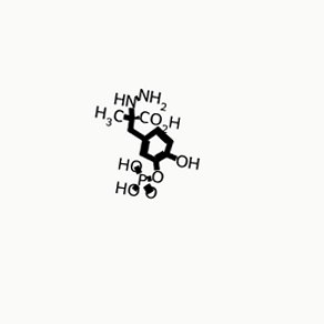 C[C@@](Cc1ccc(O)c(OP(=O)(O)O)c1)(NN)C(=O)O